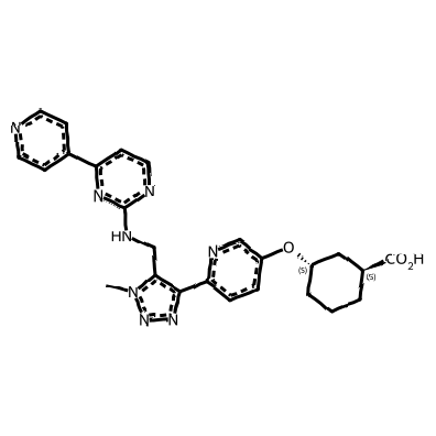 Cn1nnc(-c2ccc(O[C@H]3CCC[C@H](C(=O)O)C3)cn2)c1CNc1nccc(-c2ccncc2)n1